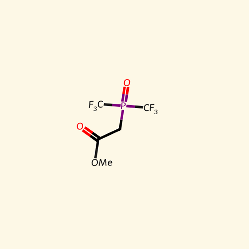 COC(=O)CP(=O)(C(F)(F)F)C(F)(F)F